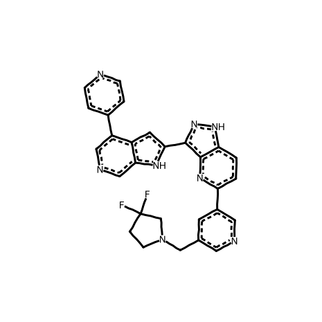 FC1(F)CCN(Cc2cncc(-c3ccc4[nH]nc(-c5cc6c(-c7ccncc7)cncc6[nH]5)c4n3)c2)C1